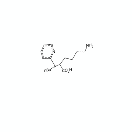 CCCCN(c1ccccn1)C(CCCCN)C(=O)O